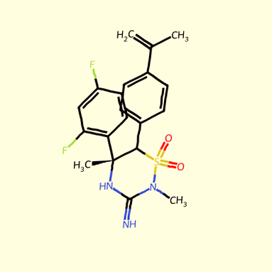 C=C(C)c1ccc(C2[C@@](C)(c3ccc(F)cc3F)NC(=N)N(C)S2(=O)=O)cc1